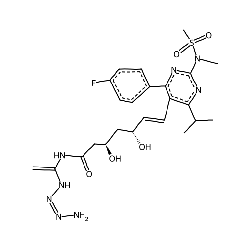 C=C(N/N=N\N)NC(=O)C[C@H](O)C[C@@H](O)/C=C/c1c(-c2ccc(F)cc2)nc(N(C)S(C)(=O)=O)nc1C(C)C